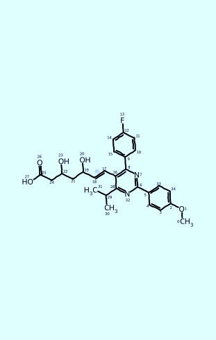 COc1ccc(-c2nc(-c3ccc(F)cc3)c(/C=C/C(O)CC(O)CC(=O)O)c(C(C)C)n2)cc1